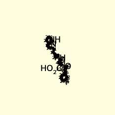 O=C(NC(CC(=O)N1CC(CCc2ccc3c(n2)NCCC3)C1)C(=O)O)OCc1cccc(F)c1